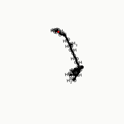 Cc1ccccc1NC(=O)Nc1ccc(CC(=O)N[C@@H](CCCNC(N)=O)C(=O)N[C@@H](CCC(=O)O)C(=O)N[C@@H](CO)C(=O)N[C@H](C(=O)NCCOCCOCCNC(=O)CCC(=O)NCCOCCOCCNC(=O)CCC(=O)N[C@@H](CCCCNC(=O)CCCCn2cc(COC(=O)NCCCC(O)(P(=O)(O)O)P(=O)(O)O)nn2)C(N)=O)C(C)C)cc1